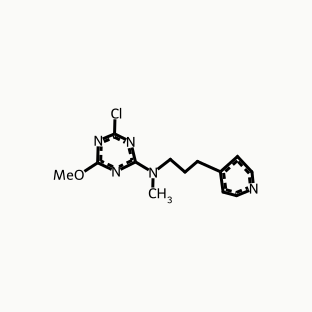 COc1nc(Cl)nc(N(C)CCCc2ccncc2)n1